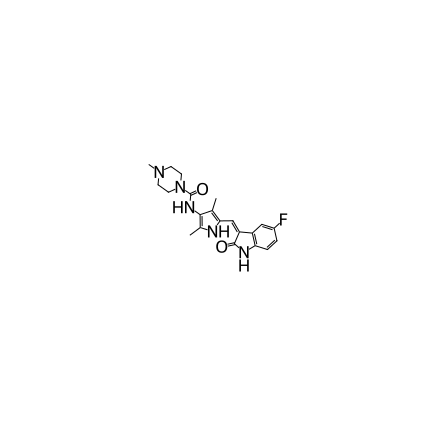 Cc1[nH]c(/C=C2\C(=O)Nc3ccc(F)cc32)c(C)c1NC(=O)N1CCN(C)CC1